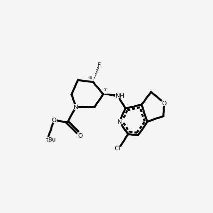 CC(C)(C)OC(=O)N1CC[C@H](F)[C@@H](Nc2nc(Cl)cc3c2COC3)C1